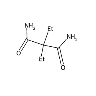 CCC(CC)(C(N)=O)C(N)=O